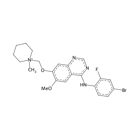 COc1cc2c(Nc3ccc(Br)cc3F)ncnc2cc1OC[N+]1(C)CCCCC1